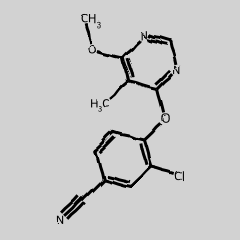 COc1ncnc(Oc2ccc(C#N)cc2Cl)c1C